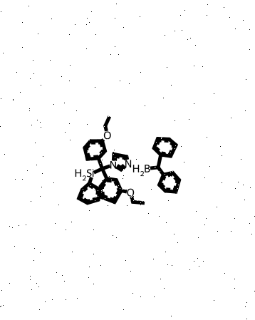 BC(c1ccccc1)c1ccccc1.CCOc1cccc(C([SiH2]c2ccccc2)(c2cccc(OCC)c2)n2ccnc2)c1